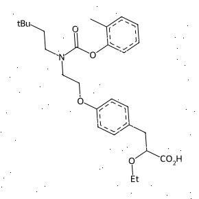 CCOC(Cc1ccc(OCCN(CCC(C)(C)C)C(=O)Oc2ccccc2C)cc1)C(=O)O